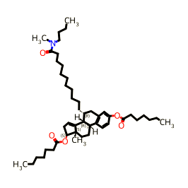 CCCCCCC(=O)Oc1ccc2c(c1)C[C@@H](CCCCCCCCCCC(=O)N(C)CCCC)[C@H]1C3=CC[C@H](OC(=O)CCCCCC)[C@@]3(C)CC[C@H]21